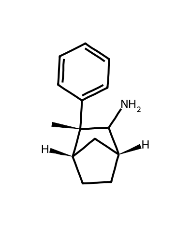 C[C@@]1(c2ccccc2)C(N)[C@@H]2CC[C@H]1C2